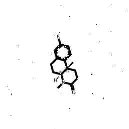 CN1C(=O)CC[C@@]2(C)c3ccc(F)cc3CC[C@H]12